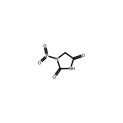 O=C1CN(P(=O)=O)C(=O)N1